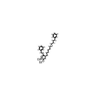 CCOC(CN(CCCCCCOCCCCc1ccccc1)C(=O)OCc1ccccc1)OCC